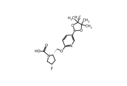 CC1(C)OB(c2ccc(OC[C@@H]3C[C@H](F)CN3C(=O)O)nc2)OC1(C)C